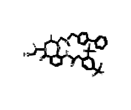 C[C@@H]1CN([C@@H](C)CO)C(=O)c2cccc(NC(=O)Cc3ccc(C(F)(F)F)cc3C(F)(F)F)c2O[C@@H]1CN(C)Cc1ccc(-c2ccccc2)cc1